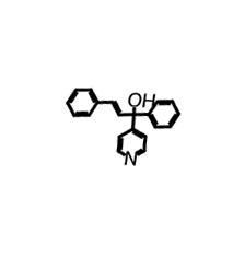 OC(C=Cc1ccccc1)(c1ccccc1)c1ccncc1